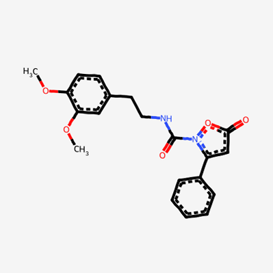 COc1ccc(CCNC(=O)n2oc(=O)cc2-c2ccccc2)cc1OC